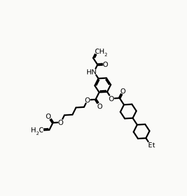 C=CC(=O)Nc1ccc(OC(=O)C2CCC(C3CCC(CC)CC3)CC2)c(C(=O)OCCCCOC(=O)C=C)c1